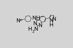 N#C[C@H]1CC[C@H](Nc2nc(N)nc3cc(-c4ccn[nH]4)ccc23)CC1